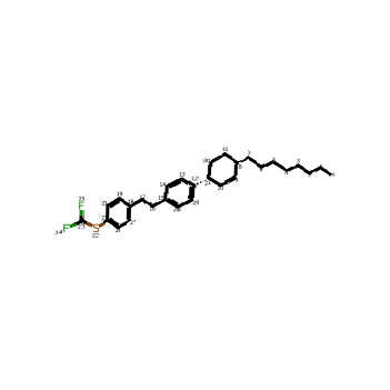 CCCCCCCC[C@H]1CC[C@H](c2ccc(CCc3ccc(SC(F)F)cc3)cc2)CC1